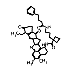 CCC1C(=O)CCC2=C1C=C1c3nc4cc(P)c(C)c5c4c(c3CC1C2=O)C(NC(=O)C1(CCCNC(=O)CCCc2ccccc2)CCC1)CC5